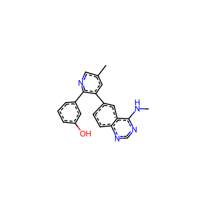 CNc1ncnc2ccc(-c3cc(C)cnc3-c3cccc(O)c3)cc12